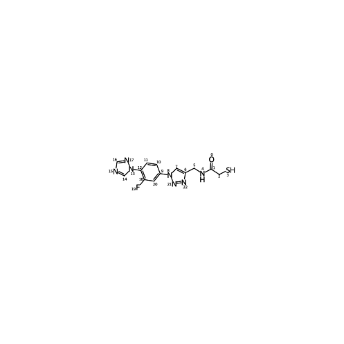 O=C(CS)NCc1cn(-c2ccc(-n3cncn3)c(F)c2)nn1